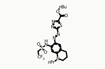 CCCCOC(=O)c1nnc(N=Nc2cc3c(cc2NS(=O)(=O)CC(F)(F)F)N(CCC)CCC3)s1